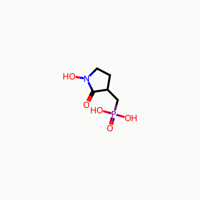 O=C1C(CP(=O)(O)O)CCN1O